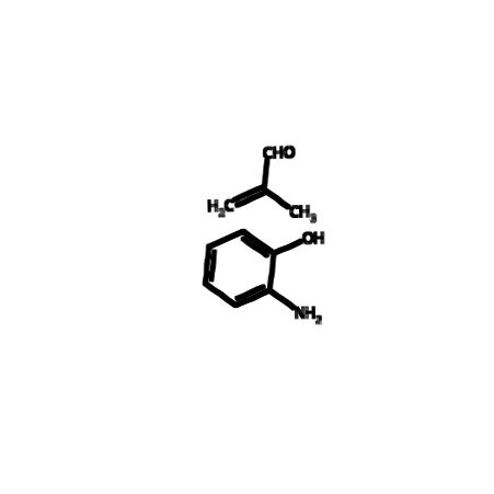 C=C(C)C=O.Nc1ccccc1O